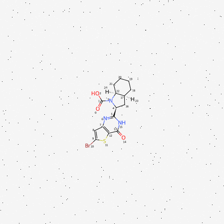 O=C(O)N1[C@H](c2nc3cc(Br)sc3c(=O)[nH]2)C[C@@H]2CCCC[C@@H]21